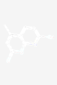 Cc1cc(=O)oc2nc(O)ccc12